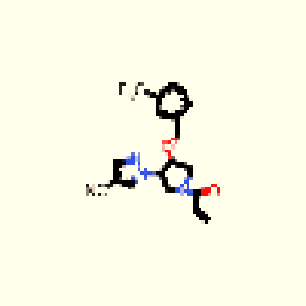 C=CC(=O)N1CC(OCc2cccc(C(F)(F)F)c2)C(n2cc(C#N)cn2)C1